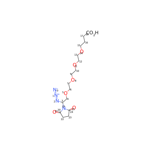 [N-]=[N+]=NC(COCCOCCOCCOCCCC(=O)O)N1C(=O)CCC1=O